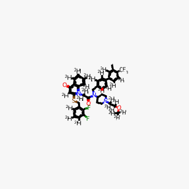 [2H]c1c([2H])c(F)c(F)c(CSc2c([2H])c(=O)c3c([2H])c([2H])c([2H])c([2H])c3n2C([2H])([2H])C(=O)N(Cc2c([2H])c([2H])c(-c3c([2H])c([2H])c(C(F)(F)F)c(C)c3[2H])c([2H])c2[2H])C2CCN(C([2H])([2H])C([2H])([2H])OC([2H])([2H])[2H])CC2)c1[2H]